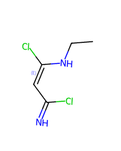 CCN/C(Cl)=C\C(=N)Cl